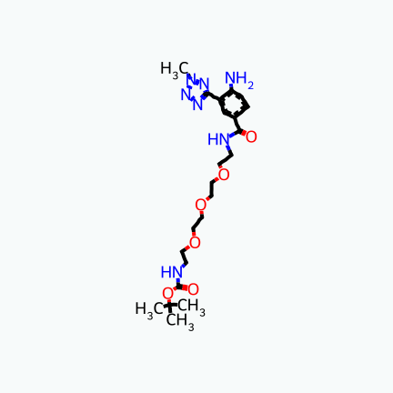 Cn1nnc(-c2cc(C(=O)NCCOCCOCCOCCNC(=O)OC(C)(C)C)ccc2N)n1